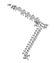 O.O.O.O.O.O.O.O.O.O.O.O.O.O.O.O.O.O.O.O.O.O.O.O.O=S(=O)(O)O.O=S(=O)(O)O.[AlH3].[AlH3].[KH].[NaH]